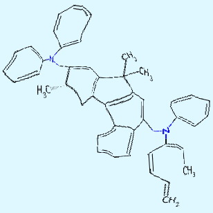 C=C/C=C\C(=C/C)N(c1ccccc1)c1cc2c(c3ccccc13)C1=C(C=C(N(c3ccccc3)c3ccccc3)[C@@H](C)C1)C2(C)C